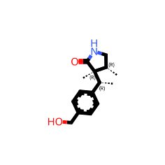 C[C@H](c1ccc(CO)cc1)[C@@]1(C)C(=O)NC[C@@H]1C